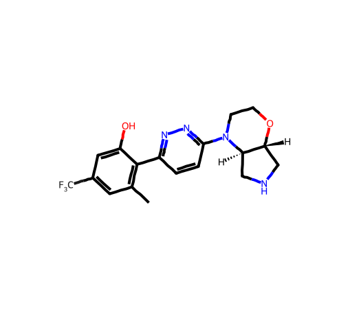 Cc1cc(C(F)(F)F)cc(O)c1-c1ccc(N2CCO[C@@H]3CNC[C@H]32)nn1